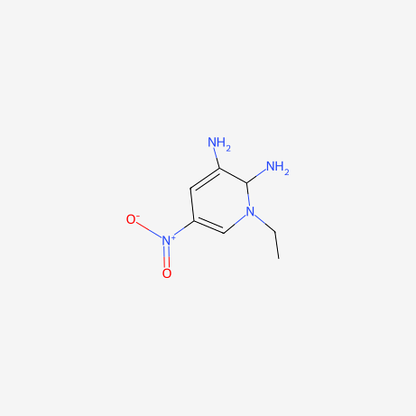 CCN1C=C([N+](=O)[O-])C=C(N)C1N